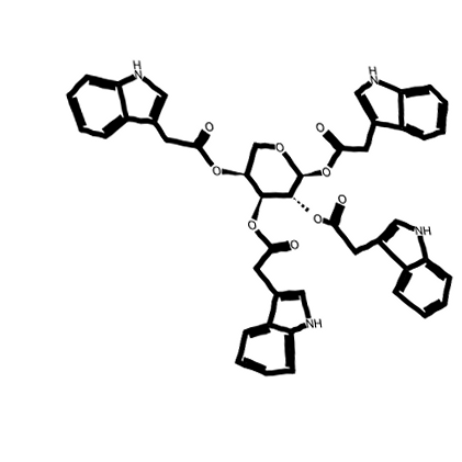 O=C(Cc1c[nH]c2ccccc12)O[C@@H]1OC[C@H](OC(=O)Cc2c[nH]c3ccccc23)[C@H](OC(=O)Cc2c[nH]c3ccccc23)[C@H]1OC(=O)Cc1c[nH]c2ccccc12